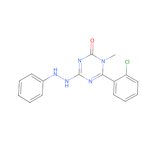 Cn1c(-c2ccccc2Cl)nc(NNc2ccccc2)nc1=O